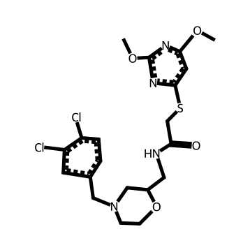 COc1cc(SCC(=O)NCC2CN(Cc3ccc(Cl)c(Cl)c3)CCO2)nc(OC)n1